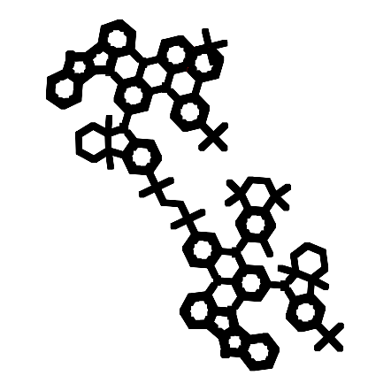 Cc1cc2c(cc1N1c3cc(C(C)(C)CCC(C)(C)c4ccc5c(c4)C4(C)CCCCC4(C)N5c4cc5c6c(c4)-n4c7c(cccc7c7oc8ccccc8c74)B6c4ccc(C(C)(C)C)cc4N5c4ccc(C(C)(C)C)cc4-c4ccccc4)ccc3B3c4c1cc(N1c5ccc(C(C)(C)C)cc5C5(C)CCCCC15C)cc4-n1c4c3cccc4c3oc4ccccc4c31)C(C)(C)CCC2(C)C